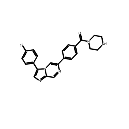 O=C(c1ccc(-c2cn3c(-c4ccc(Cl)cc4)cnc3cn2)cc1)N1CCNCC1